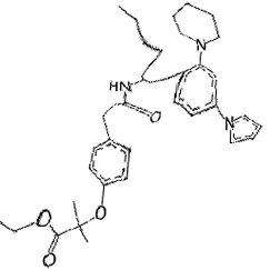 CCCCC(NC(=O)Cc1ccc(OC(C)(C)C(=O)OCC)cc1)c1ccc(-n2cccc2)cc1N1CCCCC1